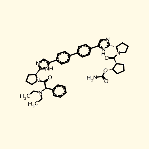 CCN(CC)[C@@H](C(=O)N1CCC[C@H]1c1ncc(-c2ccc(-c3ccc(-c4cnc([C@@H]5CCCN5C(=O)[C@H]5CCC[C@@H]5OC(N)=O)[nH]4)cc3)cc2)[nH]1)c1ccccc1